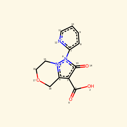 O=C(O)c1c2n(n(-c3ccccn3)c1=O)CCOC2